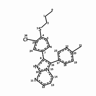 CCCSc1ccc(-c2nc3ncccn3c2-c2ccc(C)cc2)cc1Cl